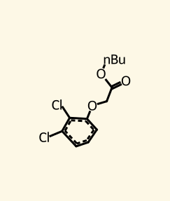 CCCCOC(=O)COc1cccc(Cl)c1Cl